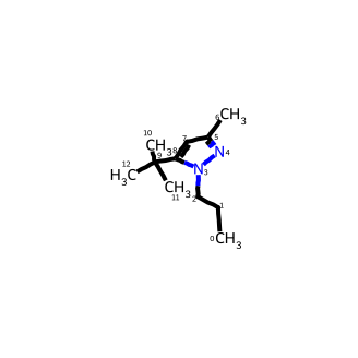 CCCn1nc(C)cc1C(C)(C)C